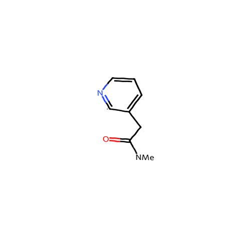 CNC(=O)Cc1[c]nccc1